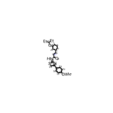 CCC(CC)Oc1cccc(/C=C/C(=O)Nc2nc(-c3ccc(OC)cc3)cs2)c1